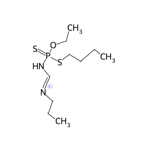 CCCCSP(=S)(N/C=N/CCC)OCC